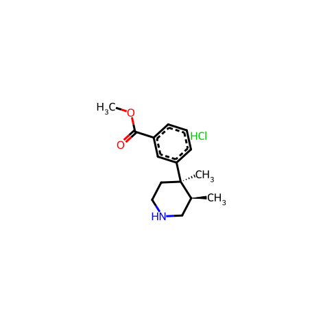 COC(=O)c1cccc([C@]2(C)CCNC[C@@H]2C)c1.Cl